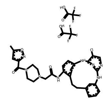 Cc1cc(C(=O)N2CCN(CC(=O)Nc3ccc4cc3CCc3cccc(c3)Nc3ncc(Cl)c(n3)N4)CC2)no1.O=C(O)C(F)(F)F.O=C(O)C(F)(F)F